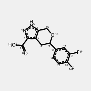 O=C(O)c1n[nH]c2c1CC(c1ccc(F)c(F)c1)OC2